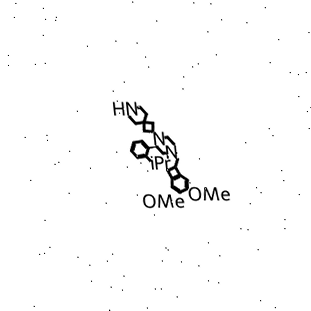 COc1cc2c(cc1OC)C(CN1CCN(C3CC4(CCNCC4)C3)[C@H](c3ccccc3C(C)C)C1)C2